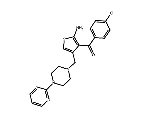 Nc1scc(CN2CCN(c3ncccn3)CC2)c1C(=O)c1ccc(Cl)cc1